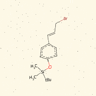 CC(C)(C)[Si](C)(C)Oc1ccc(/C=C/CBr)cc1